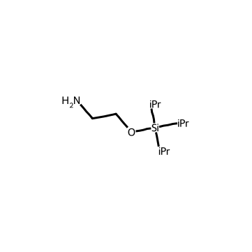 CC(C)[Si](OCCN)(C(C)C)C(C)C